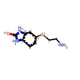 NCCSc1ccc2[nH]c(=O)[nH]c2c1